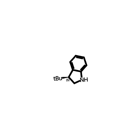 CC(C)(C)[C@@H]1CNc2ccccc21